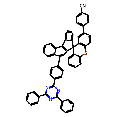 N#Cc1ccc(-c2ccc3c(c2)C2(c4ccccc4S3)c3ccccc3-c3c2cc(-c2ccc(-c4nc(-c5ccccc5)nc(-c5ccccc5)n4)cc2)c2ccccc32)cc1